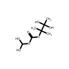 CC(O)(O)C(C)(C)OC(=O)OC(O)O